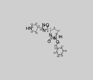 O=C1N2C[C@@H](CC[C@H]2c2nc(C3CCNCC3)no2)N1OCc1ccccc1